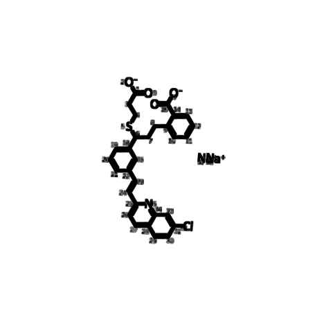 O=C([O-])CCSC(CCc1ccccc1C(=O)[O-])c1cccc(C=Cc2ccc3ccc(Cl)cc3n2)c1.[Na+].[Na+]